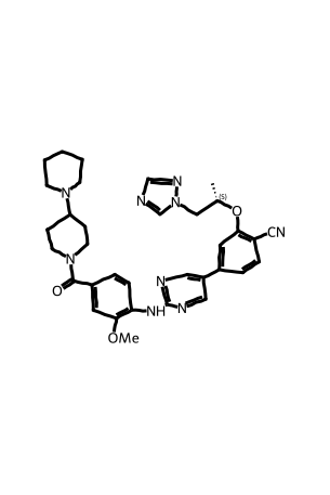 COc1cc(C(=O)N2CCC(N3CCCCC3)CC2)ccc1Nc1ncc(-c2ccc(C#N)c(O[C@@H](C)Cn3cncn3)c2)cn1